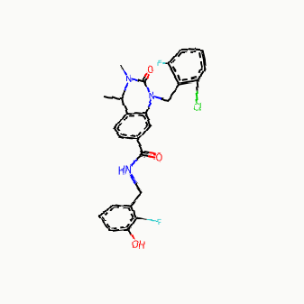 CC1c2ccc(C(=O)NCc3cccc(O)c3F)cc2N(Cc2c(F)cccc2Cl)C(=O)N1C